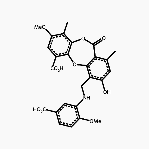 COc1ccc(C(=O)O)cc1NCc1c(O)cc(C)c2c1Oc1c(C(=O)O)cc(OC)c(C)c1OC2=O